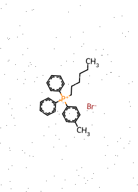 CCCCCC[P+](c1ccccc1)(c1ccccc1)c1ccc(C)cc1.[Br-]